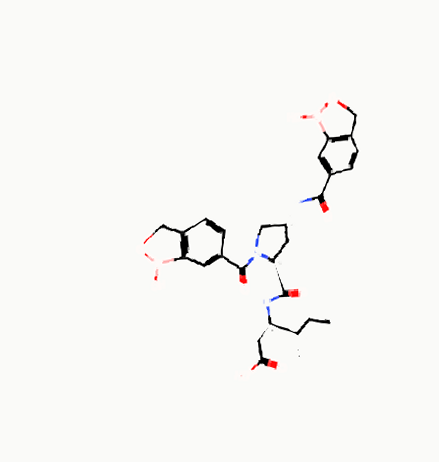 CC[C@H](C)[C@@H](CC(=O)O)NC(=O)[C@@H]1C[C@@H](NC(=O)c2ccc3c(c2)B(O)OC3)CN1C(=O)c1ccc2c(c1)B(O)OC2